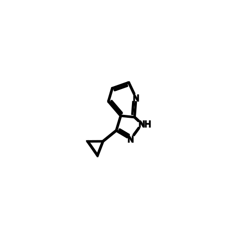 c1cnc2[nH]nc(C3CC3)c2c1